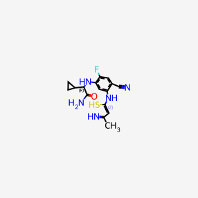 CC(=N)/C=C(\S)Nc1cc(N[C@@H](C(N)=O)C2CC2)c(F)cc1C#N